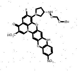 CC(C)(C)OCON[C@H]1CCN(c2c(F)cc3c(=O)c(C(=O)O)cn4c5cc6oc7cc([N+](=O)[O-])ccc7[nH]c6cc5oc2c34)C1